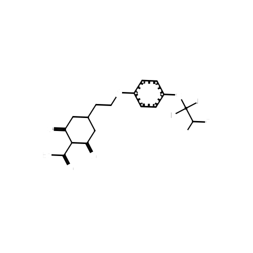 CCC(=O)C1C(=O)CC(CCSc2ccc(OC(F)(F)C(F)F)cc2)CC1=O